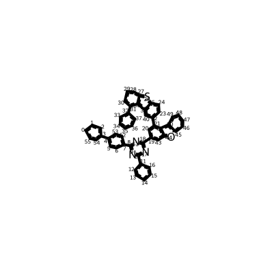 c1ccc(-c2ccc(-c3nc(-c4ccccc4)nc(-c4cc(-c5ccc6sc7cccc(-c8ccccc8)c7c6c5)c5c(c4)oc4ccccc45)n3)cc2)cc1